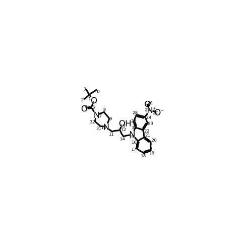 CC(C)(C)OC(=O)N1CCN(CC(O)Cn2c3ccccc3c3cc([N+](=O)[O-])ccc32)CC1